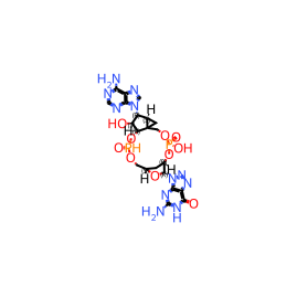 Nc1nc2c(nnn2[C@@H]2O[C@@H]3CO[PH](=O)O[C@H]4[C@@H](O)[C@H](n5cnc6c(N)ncnc65)[C@H]5CC54COP(=O)(O)O[C@@H]2C3)c(=O)[nH]1